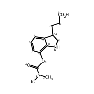 CCN(C)C(=O)Oc1cccc2c1NCC2CCC(=O)O